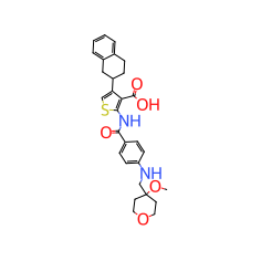 COC1(CNc2ccc(C(=O)Nc3scc(C4CCc5ccccc5C4)c3C(=O)O)cc2)CCOCC1